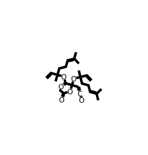 C=CC(C)(CCC=C(C)C)OC(=O)C(C=C=O)(OC(C)=O)OC(C)(C=C)CCC=C(C)C